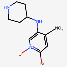 O=[N+]([O-])c1cc(Br)[n+]([O-])cc1NC1CCNCC1